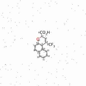 O=C(O)C1C=C(C(F)(F)F)c2c(ccc3ccccc23)O1